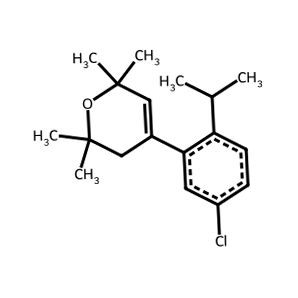 CC(C)c1ccc(Cl)cc1C1=CC(C)(C)OC(C)(C)C1